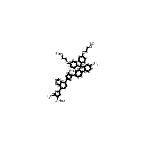 CCCCCCc1cc(-c2ccc(-c3cc(CCCCCC)c(-c4ccc5c(c4)C(c4ccc(OCCOCC)cc4)(c4ccc(OCCOCC)cc4)c4cc(C)ccc4-5)s3)c3nsnc23)sc1C